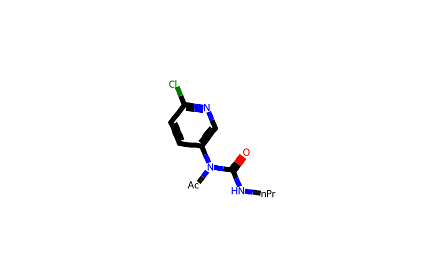 CCCNC(=O)N(C(C)=O)c1ccc(Cl)nc1